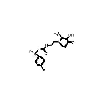 CC[C@H](OC(=O)NCCn1ccc(=O)c(O)c1C)c1ccc(F)cc1